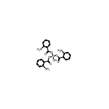 Nc1ccccc1C(=O)[O][Ti]([OH])([O]C(=O)c1ccccc1N)[O]C(=O)c1ccccc1N